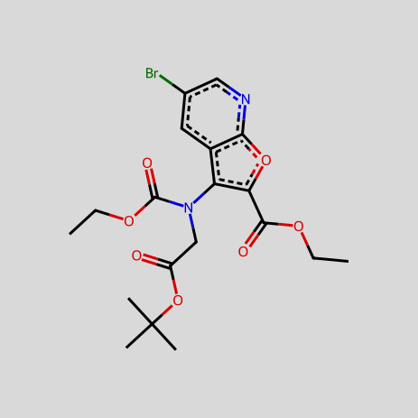 CCOC(=O)c1oc2ncc(Br)cc2c1N(CC(=O)OC(C)(C)C)C(=O)OCC